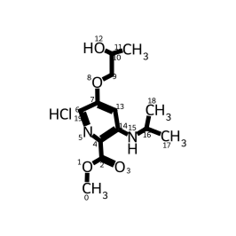 COC(=O)c1ncc(OCC(C)O)cc1NC(C)C.Cl